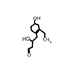 CCC1=C(CC(O)CC=O)CCC(O)C1